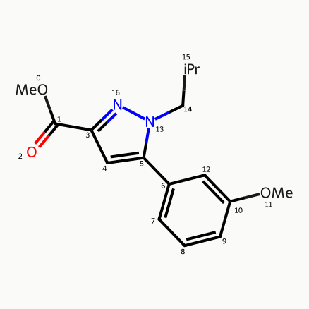 COC(=O)c1cc(-c2cccc(OC)c2)n(CC(C)C)n1